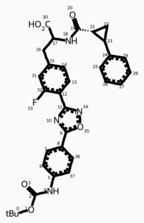 CC(C)(C)OC(=O)Nc1ccc(-c2nc(-c3ccc(CC(NC(=O)[C@@H]4CC4c4ccccc4)C(=O)O)cc3F)no2)cc1